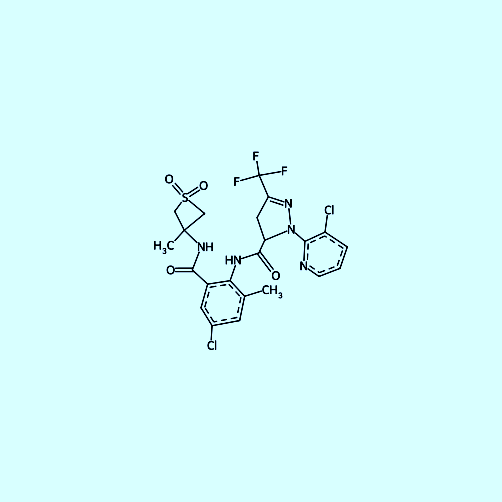 Cc1cc(Cl)cc(C(=O)NC2(C)CS(=O)(=O)C2)c1NC(=O)C1CC(C(F)(F)F)=NN1c1ncccc1Cl